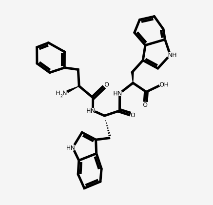 N[C@@H](Cc1ccccc1)C(=O)N[C@@H](Cc1c[nH]c2ccccc12)C(=O)N[C@@H](Cc1c[nH]c2ccccc12)C(=O)O